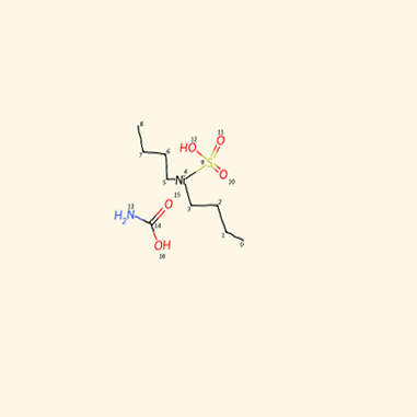 CCC[CH2][Ni]([CH2]CCC)[S](=O)(=O)O.NC(=O)O